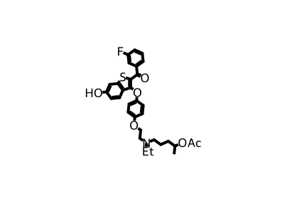 CCN(CCCC(C)OC(C)=O)CCOc1ccc(Oc2c(C(=O)c3cccc(F)c3)sc3cc(O)ccc23)cc1